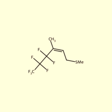 CSCC=C(C)C(F)(F)C(F)(F)C(F)(F)F